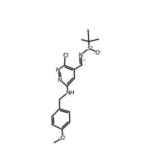 COc1ccc(CNc2cc(/C=N/[S+]([O-])C(C)(C)C)c(Cl)nn2)cc1